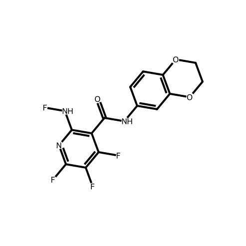 O=C(Nc1ccc2c(c1)OCCO2)c1c(NF)nc(F)c(F)c1F